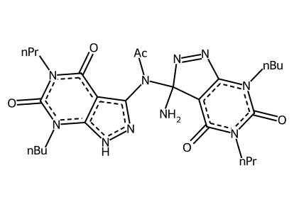 CCCCn1c2c(c(=O)n(CCC)c1=O)C(N)(N(C(C)=O)c1n[nH]c3c1c(=O)n(CCC)c(=O)n3CCCC)N=N2